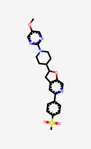 COc1cnc(N2CCC(C3Cc4cc(-c5ccc(S(C)(=O)=O)cc5)ncc4O3)CC2)nc1